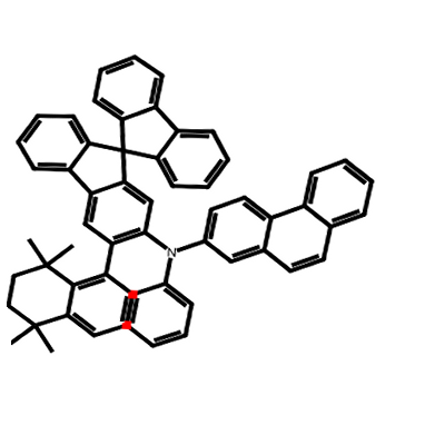 CC1(C)CCC(C)(C)c2c(-c3cc4c(cc3N(c3ccccc3)c3ccc5c(ccc6ccccc65)c3)C3(c5ccccc5-c5ccccc53)c3ccccc3-4)cccc21